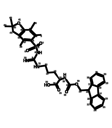 Cc1c(C)c(S(=O)(=O)NC(=N)NCCC[C@@H](NC(=O)OCC2c3ccccc3-c3ccccc32)C(=O)O)c(C)c2c1OC(C)(C)C2